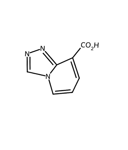 O=C(O)c1cccn2cnnc12